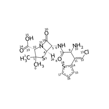 CC1(C)S[C@@H]2[C@@H](NC(=O)C(N)/C(=C\Cl)c3cccs3)C(=O)N2[C@H]1C(=O)O